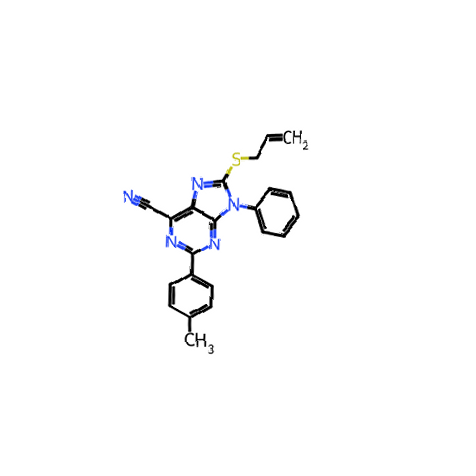 C=CCSc1nc2c(C#N)nc(-c3ccc(C)cc3)nc2n1-c1ccccc1